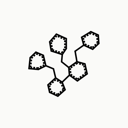 c1ccc(Cc2ccccc2-c2cccc(Cc3ccccc3)c2Cc2ccccc2)cc1